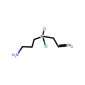 C=CC[Si](Cl)(Cl)CCCN